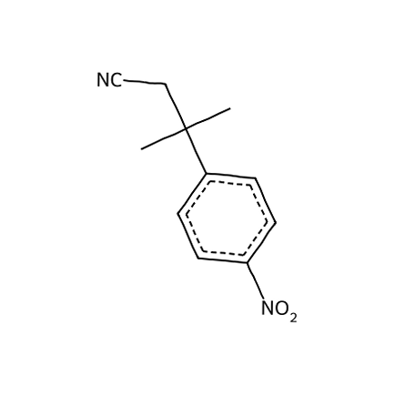 CC(C)(CC#N)c1ccc([N+](=O)[O-])cc1